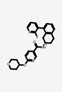 O=C(N[C@@H]1CCc2cccc(-c3cccnc3F)c2C1)c1ccc(OC2CCOCC2)nc1